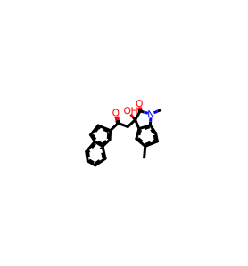 Cc1ccc2c(c1)C(O)(CC(=O)c1ccc3ccccc3c1)C(=O)N2C